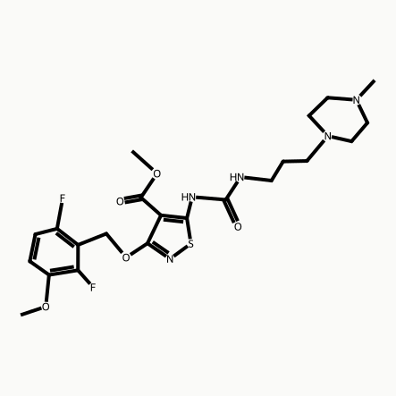 COC(=O)c1c(OCc2c(F)ccc(OC)c2F)nsc1NC(=O)NCCCN1CCN(C)CC1